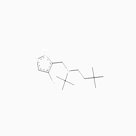 CC(C)(C)CCN(Cc1[nH]ncc1Br)C(C)(C)C